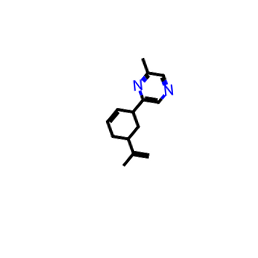 C=C(C)C1CC=CC(c2cncc(C)n2)C1